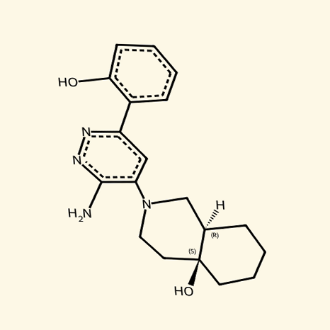 Nc1nnc(-c2ccccc2O)cc1N1CC[C@@]2(O)CCCC[C@@H]2C1